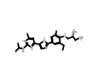 CCc1cc(-c2ncc(-c3cc(C)nc(NC(C)C)n3)o2)cc(C)c1OC[C@@H](O)CO